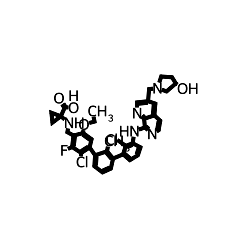 CCOc1cc(-c2cccc(-c3cccc(Nc4nccc5cc(CN6CCC(O)C6)cnc45)c3Cl)c2C)c(Cl)c(F)c1CNC1(C(=O)O)CC1